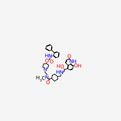 CN(CCN1CCC(OC(=O)Nc2ccccc2-c2ccccc2)CC1)C(=O)C1CCC(CNCC(O)c2ccc(O)c3[nH]c(=O)ccc23)CC1